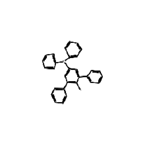 Ic1c(-c2ccccc2)cc(N(c2ccccc2)c2ccccc2)cc1-c1ccccc1